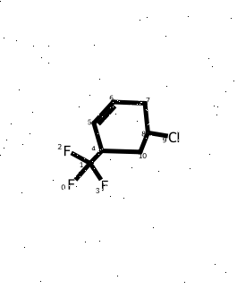 FC(F)(F)C1C=CCC(Cl)C1